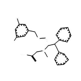 COC(=O)CN(C)[C@H](COCc1cc(C(F)(F)F)cc(C(F)(F)F)c1)C(c1ccccc1)c1ccccc1